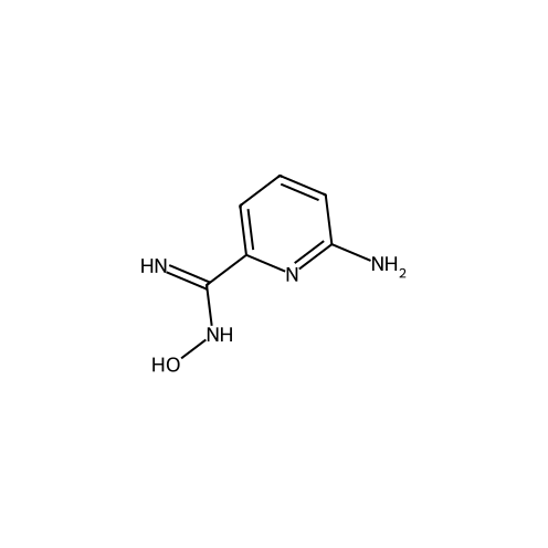 N=C(NO)c1cccc(N)n1